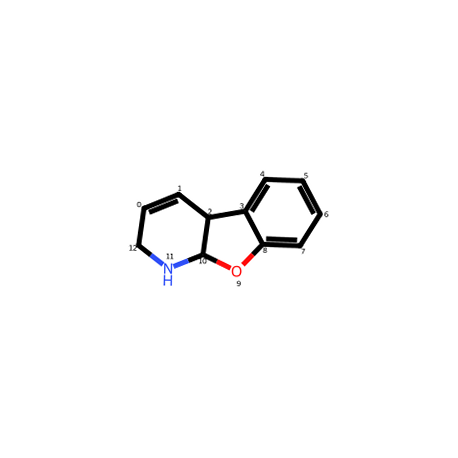 C1=CC2c3ccccc3OC2NC1